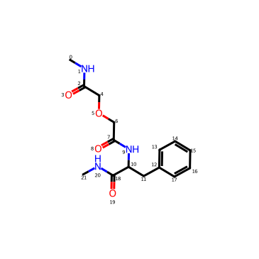 CNC(=O)COCC(=O)NC(Cc1ccccc1)C(=O)NC